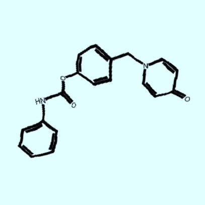 O=C(Nc1ccccc1)Oc1ccc(Cn2ccc(=O)cc2)cc1